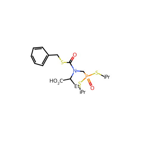 CCC(C(=O)O)N(CP(=O)(SC(C)C)SC(C)C)C(=O)SCc1ccccc1